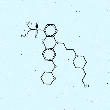 CN(C)S(=O)(=O)c1cccc2c1Sc1ccc(OC3CCCCO3)cc1N2CCCN1CCC(CCO)CC1